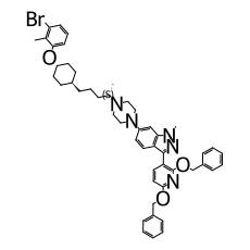 Cc1c(Br)cccc1O[C@H]1CC[C@H](CCC[C@H](C)N2CCN(c3ccc4c(-c5ccc(OCc6ccccc6)nc5OCc5ccccc5)nn(C)c4c3)CC2)CC1